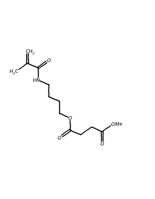 C=C(C)C(=O)NCCCCOC(=O)CCC(=O)OC